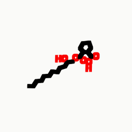 CCCCCCCCCCC(O)COC(=O)C1CCCCC1C(=O)O